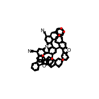 N#Cc1cc2c(c3c1C1c4ccccc4C3c3ccccc31)c1c(-c3c4ccccc4cc4oc5ccccc5c34)cc(-c3c4ccccc4cc4oc5ccccc5c34)c3c4c5c(c(C#N)cc4n2c13)C1c2ccccc2C2c3ccccc3C521